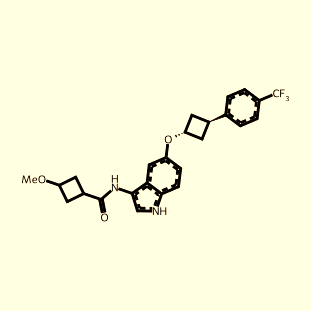 COC1CC(C(=O)Nc2c[nH]c3ccc(O[C@H]4C[C@H](c5ccc(C(F)(F)F)cc5)C4)cc23)C1